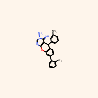 N=c1c2c(ncn1N)Oc1cc(-c3ccccc3C(F)(F)F)ccc1C2c1cccc([N+](=O)[O-])c1